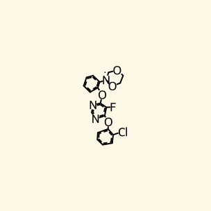 Fc1c(Oc2ccccc2Cl)ncnc1Oc1ccccc1N1[CH]OCCO1